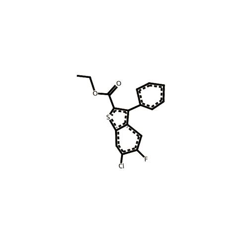 CCOC(=O)c1sc2cc(Cl)c(F)cc2c1-c1ccccc1